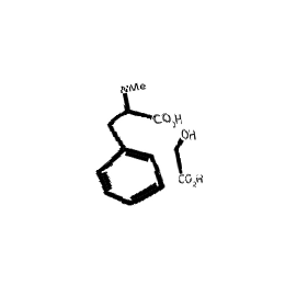 CNC(Cc1ccccc1)C(=O)O.O=C(O)CO